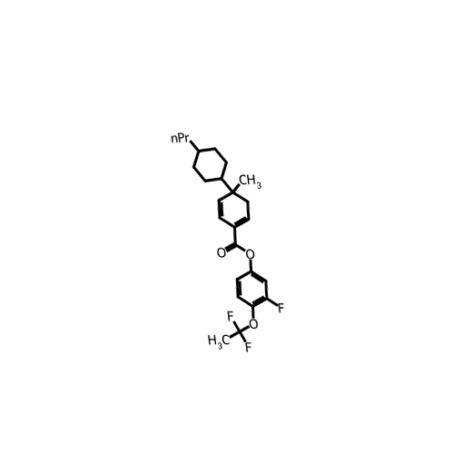 CCCC1CCC(C2(C)C=CC(C(=O)Oc3ccc(OC(C)(F)F)c(F)c3)=CC2)CC1